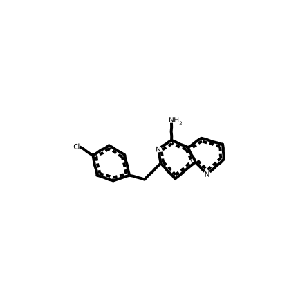 Nc1nc(Cc2ccc(Cl)cc2)cc2ncccc12